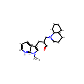 Cn1cc(CC(C=O)CN2CCCC3CCCCC32)c2cccnc21